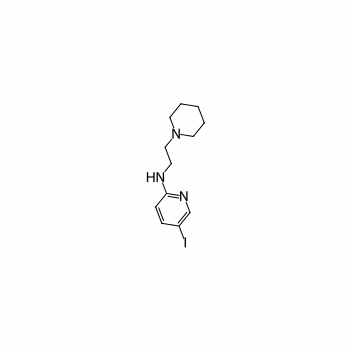 Ic1ccc(NCCN2CCCCC2)nc1